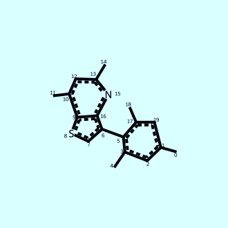 Cc1cc(C)c(-c2csc3c(C)cc(C)nc23)c(C)c1